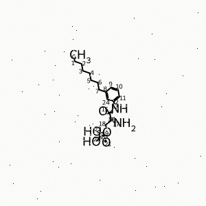 CCCCCCCCc1cccc(NC(=O)[C@H](N)COP(=O)(O)O)c1